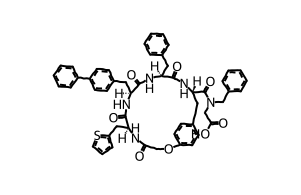 O=C(O)CN(Cc1ccccc1)C(=O)[C@@H]1Cc2ccc(cc2)OCC(=O)N[C@@H](Cc2cccs2)C(=O)N[C@@H](Cc2ccc(-c3ccccc3)cc2)C(=O)N[C@@H](Cc2ccccc2)C(=O)N1